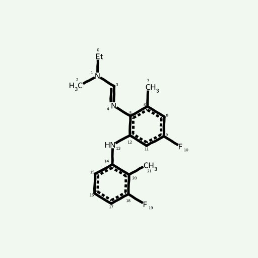 CCN(C)C=Nc1c(C)cc(F)cc1Nc1cccc(F)c1C